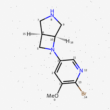 COc1cc(N2C[C@H]3CNC[C@H]32)cnc1Br